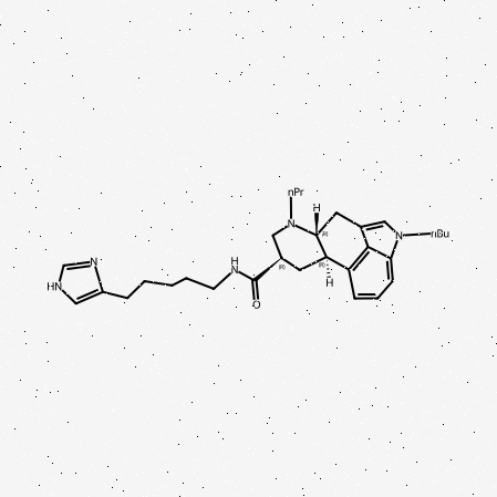 CCCCn1cc2c3c(cccc31)[C@H]1C[C@@H](C(=O)NCCCCCc3c[nH]cn3)CN(CCC)[C@@H]1C2